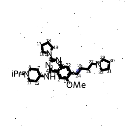 COc1cc2c(NC3CCN(C(C)C)CC3)nc(N3CCCC3)nc2cc1/C=C/CCN1CCCC1